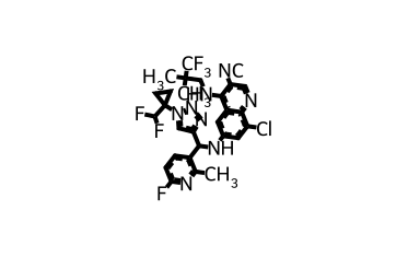 Cc1nc(F)ccc1C(Nc1cc(Cl)c2ncc(C#N)c(NCC(C)(C)C(F)(F)F)c2c1)c1cn(C2(C(F)F)CC2)nn1